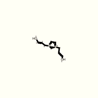 OC=CCn1cc[n+](CC=CO)c1